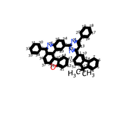 CC1(C)c2ccccc2-c2cc(-c3cc(-c4ccccc4)nc(-c4ccc5nc(-c6ccccc6)c6ccc7oc8ccccc8c7c6c5c4)n3)ccc21